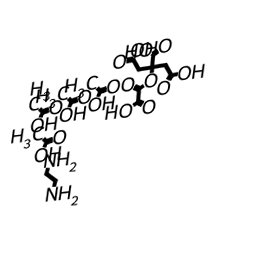 CC(=O)O.CC(=O)O.CC(=O)O.CC(=O)O.NCCN.O=C(O)CC(CC(=O)O)(OC(=O)C(=O)O)C(=O)O